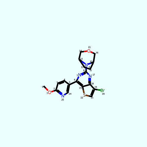 COc1ccc(-c2nc(N3C4CCC3COC4)nc3c(Br)csc23)cn1